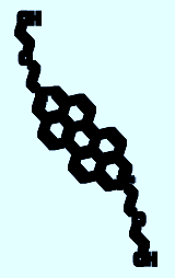 OCCOCC[n+]1cc2ccc3c4ccc5c[n+](CCOCCO)cc6ccc(c7ccc(c1)c2c37)c4c56